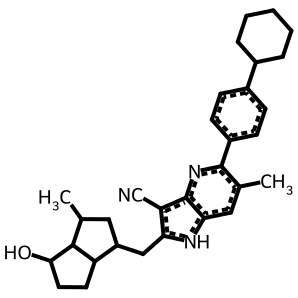 Cc1cc2[nH]c(CC3CC(C)C4C(O)CCC34)c(C#N)c2nc1-c1ccc(C2CCCCC2)cc1